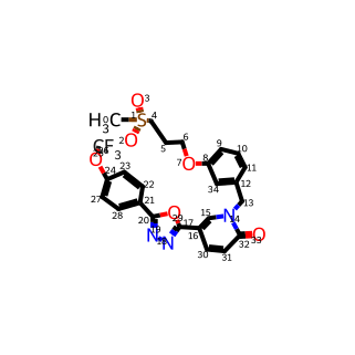 CS(=O)(=O)CCCOc1cccc(Cn2cc(-c3nnc(-c4ccc(OC(F)(F)F)cc4)o3)ccc2=O)c1